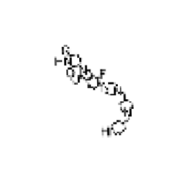 O=C1CCC(N2Cc3c(ccc(N4CCN(CC5CCN(CC6CCNCC6)CC5)CC4)c3F)C2=O)C(=O)N1